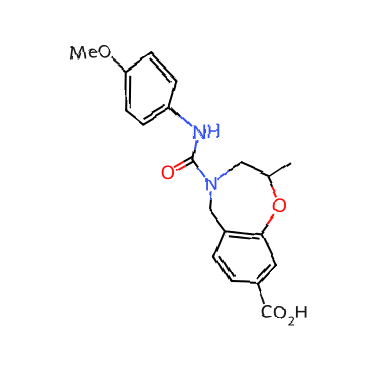 COc1ccc(NC(=O)N2Cc3ccc(C(=O)O)cc3OC(C)C2)cc1